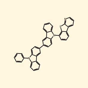 c1ccc(-n2c3ccccc3c3cc(-c4ccc5c(c4)c4ccccc4n5-c4cccc5c4sc4ncccc45)ccc32)cc1